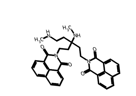 CNCCC(CCN1C(=O)c2cccc3cccc(c23)C1=O)(CCN1C(=O)c2cccc3cccc(c23)C1=O)NC